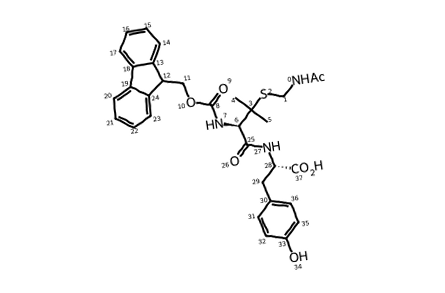 CC(=O)NCSC(C)(C)[C@H](NC(=O)OCC1c2ccccc2-c2ccccc21)C(=O)N[C@@H](Cc1ccc(O)cc1)C(=O)O